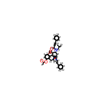 CC(=O)Oc1ccc2c3c1C[C@@H]1[C@@H]4CC[C@@H](N(CC(C)C)C(=O)C#Cc5ccccc5)[C@H](O2)[C@]34CCN1CCc1ccccc1